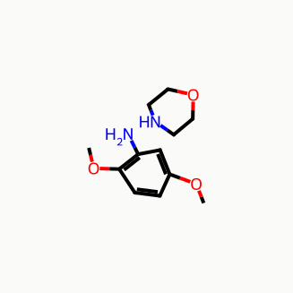 C1COCCN1.COc1ccc(OC)c(N)c1